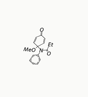 CCC(=O)N(c1ccccc1)C1(OC)C=CC(=O)C=C1